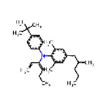 C=C/C(=C\CC)N(c1ccc(C(C)(C)C)cc1)c1c(C)cc(CC(C)CCC)cc1C